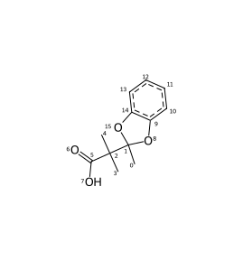 CC1(C(C)(C)C(=O)O)Oc2ccccc2O1